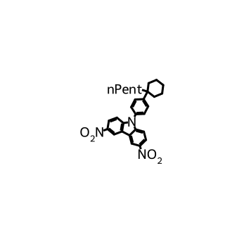 CCCCCC1(c2ccc(-n3c4ccc([N+](=O)[O-])cc4c4cc([N+](=O)[O-])ccc43)cc2)CCCCC1